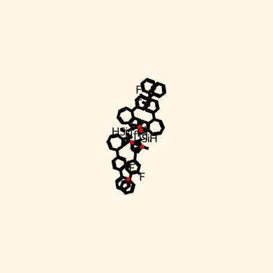 CC1=CC2=C(C=CC=CC2c2ccc(-c3ccccc3)c(F)c2)[C]12[SiH](C)[C]1(C(C)=CC3=C1C=CC=CC3c1ccc(-c3ccccc3)c(F)c1)[Hf]21([Cl])([Cl])[C]2(C(C)=CC3=C2C=CC=CC3c2ccc(-c3ccccc3)c(F)c2)[SiH](C)[C]12C(C)=CC1=C2C=CC=CC1c1ccc(-c2ccccc2)c(F)c1